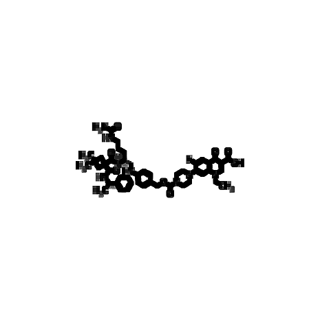 CCn1cc(C(=O)O)c(=O)c2cc(F)c(N3CCN(C(=O)OCc4ccc(NC[C@@H](CCCNC(N)=O)NC(=O)C5(C(=O)N[C@H](C)c6ccccc6)CC(C)(C)C5)cc4)CC3)cc21